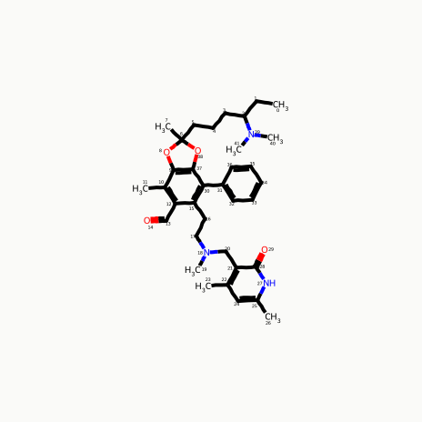 CCC(CCCC1(C)Oc2c(C)c(C=O)c(CCN(C)Cc3c(C)cc(C)[nH]c3=O)c(-c3ccccc3)c2O1)N(C)C